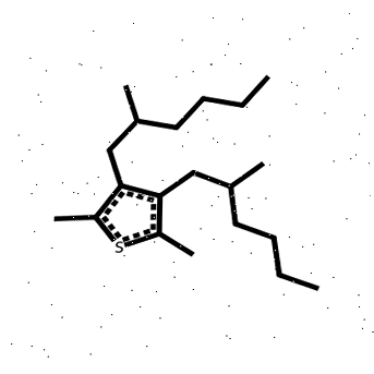 CCCCC(C)Cc1c(C)sc(C)c1CC(C)CCCC